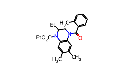 CCOC(=O)N1c2cc(C)c(C)cc2N(C(=O)c2ccccc2C)CC1CC